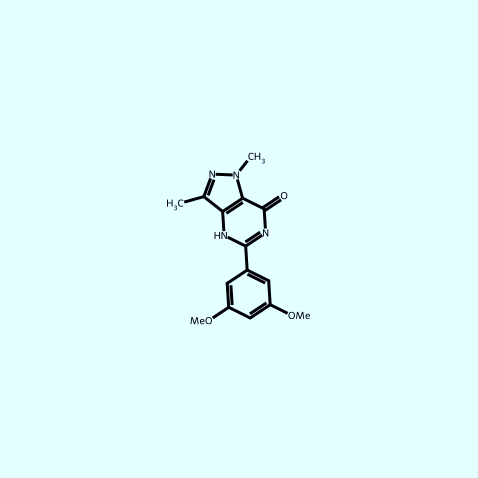 COc1cc(OC)cc(-c2nc(=O)c3c([nH]2)c(C)nn3C)c1